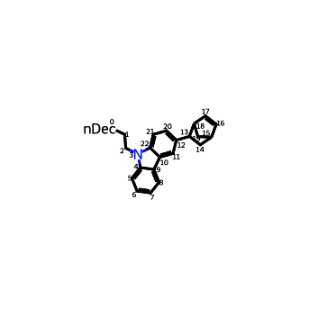 CCCCCCCCCCCCn1c2ccccc2c2cc(C3CC4C=CC3C4)ccc21